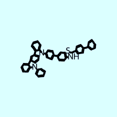 c1ccc(-c2ccc(C3Nc4ccc(-c5ccc(-n6c7ccccc7c7cc8c9ccccc9n(-c9ccccc9)c8cc76)cc5)cc4S3)cc2)cc1